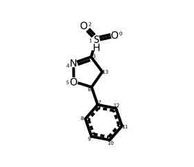 O=[SH](=O)C1=NOC(c2ccccc2)C1